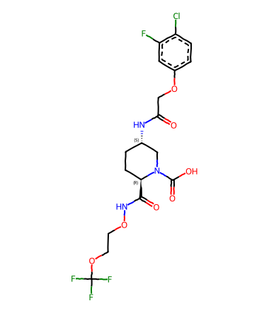 O=C(COc1ccc(Cl)c(F)c1)N[C@H]1CC[C@H](C(=O)NOCCOC(F)(F)F)N(C(=O)O)C1